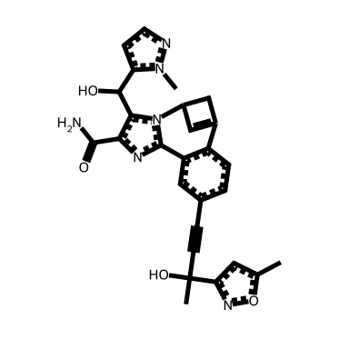 Cc1cc(C(C)(O)C#Cc2ccc3c(c2)-c2nc(C(N)=O)c(C(O)c4ccnn4C)n2C2C=C3C2)no1